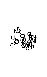 CN1CC(=O)N=C1NC(=O)[C@@H]1CCCN1S(=O)(=O)c1cnc2n1[C@](C)(Cc1ccc(-c3cncnc3)cc1)C(=O)N2c1cc(Cl)cc(Cl)c1